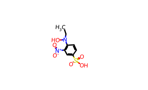 CCN(O)c1ccc(S(=O)(=O)O)cc1[N+](=O)[O-]